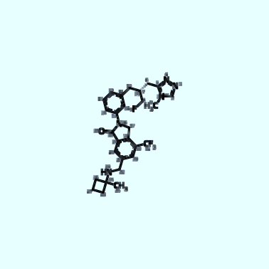 Cn1cnnc1C[C@H](CF)Cc1cccc(N2Cc3c(cc(CNC4(C)CCC4)cc3C(F)(F)F)C2=O)c1